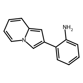 Nc1ccccc1-c1cc2ccccn2c1